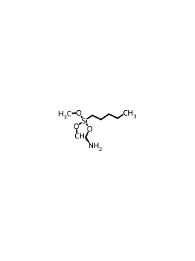 CCCCC[Si](OC)(OC)OCN